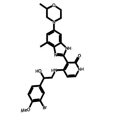 COc1ccc(C(O)CNc2cc[nH]c(=O)c2-c2nc3c(C)cc(N4CCOC(C)C4)cc3[nH]2)cc1Br